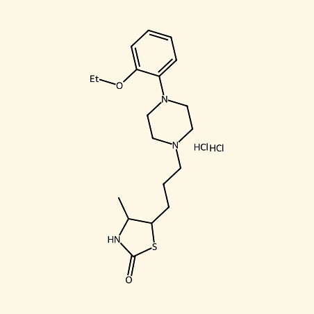 CCOc1ccccc1N1CCN(CCCC2SC(=O)NC2C)CC1.Cl.Cl